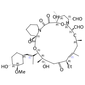 CC[C@@H]1/C=C(\C)C[C@H](C)C[C@H](C=O)[C@H]2O[C@@](O)(C(=O)C(=O)N3CCCC[C@H]3C(=O)O[C@H](/C(C)=C/[C@@H]3CC[C@@H](O)[C@H](OC)C3)[C@H](C)[C@@H](O)CC1=O)[C@H](C)C[C@@H]2C=O